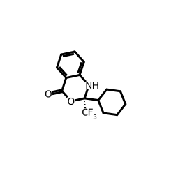 O=C1O[C@@](C2CCCCC2)(C(F)(F)F)Nc2ccccc21